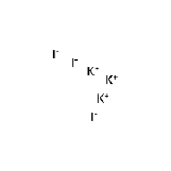 [I-].[I-].[I-].[K+].[K+].[K+]